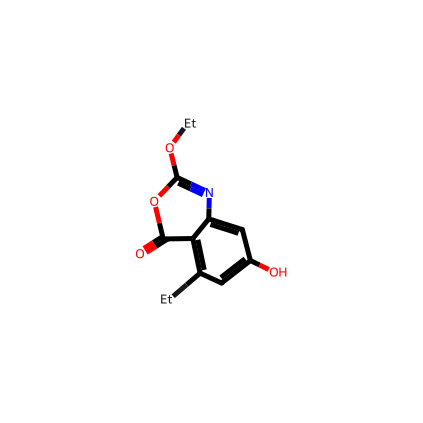 CCOc1nc2cc(O)cc(CC)c2c(=O)o1